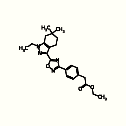 CCOC(=O)Cc1ccc(-c2noc(-c3nn(CC)c4c3CCC(C)(C)C4)n2)cc1